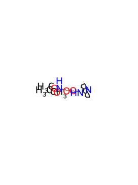 CC(C)(C)OC(=O)NCCOCCOCCNc1c2ccccc2nc2ccccc12